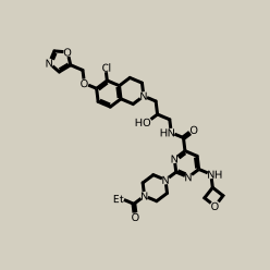 CCC(=O)N1CCN(c2nc(NC3COC3)cc(C(=O)NCC(O)CN3CCc4c(ccc(OCc5cnco5)c4Cl)C3)n2)CC1